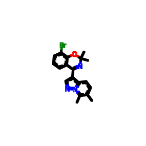 Cc1ccc2c(C3=NC(C)(C)Oc4c(Br)cccc43)cnn2c1C